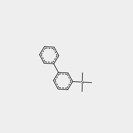 C[Si](C)(C)c1cccc(-c2ccccc2)c1